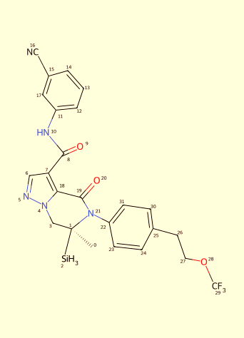 C[C@]1([SiH3])Cn2ncc(C(=O)Nc3cccc(C#N)c3)c2C(=O)N1c1ccc(CCOC(F)(F)F)cc1